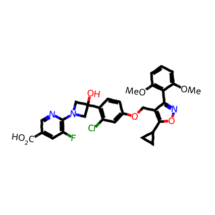 COc1cccc(OC)c1-c1noc(C2CC2)c1COc1ccc(C2(O)CN(c3ncc(C(=O)O)cc3F)C2)c(Cl)c1